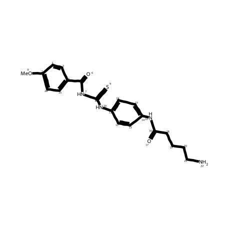 COc1ccc(C(=O)NC(=S)Nc2ccc(NC(=O)CCCCN)cc2)cc1